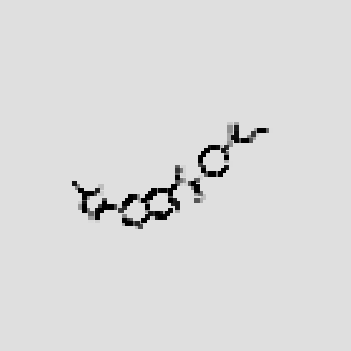 Cc1nnc(-c2ccc3cnc(NC(=O)[C@H]4CC[C@H](NCCF)CC4)cc3c2)s1